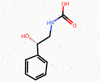 O=C(O)NC[C@@H](O)c1ccccc1